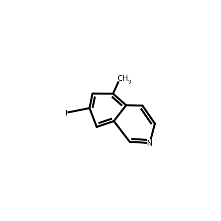 Cc1cc(I)cc2cnccc12